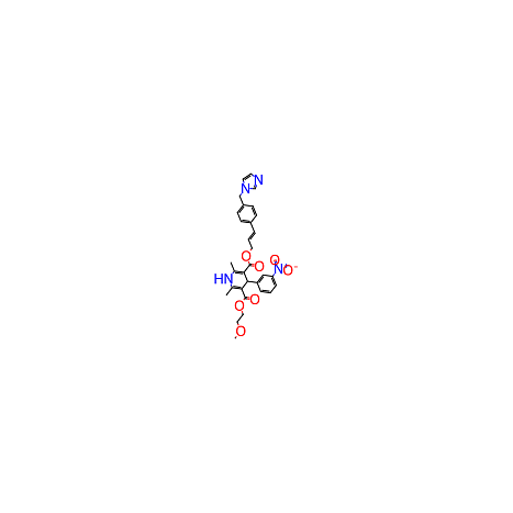 COCCOC(=O)C1=C(C)NC(C)=C(C(=O)OCC=Cc2ccc(Cn3ccnc3)cc2)C1c1cccc([N+](=O)[O-])c1